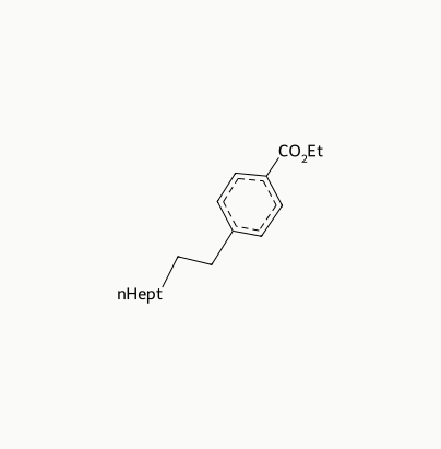 CCCCCCCCCc1ccc(C(=O)OCC)cc1